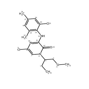 CCC(COC)n1cc(Cl)nc(Nc2c(C)cc(C)cc2Cl)c1=O